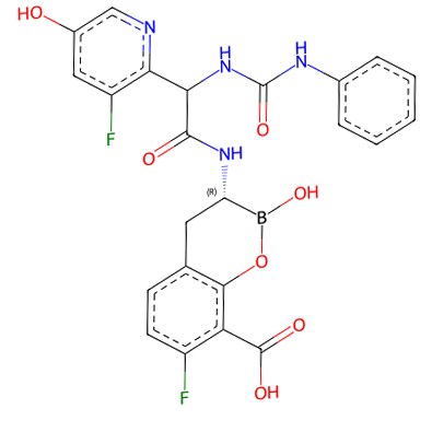 O=C(Nc1ccccc1)NC(C(=O)N[C@H]1Cc2ccc(F)c(C(=O)O)c2OB1O)c1ncc(O)cc1F